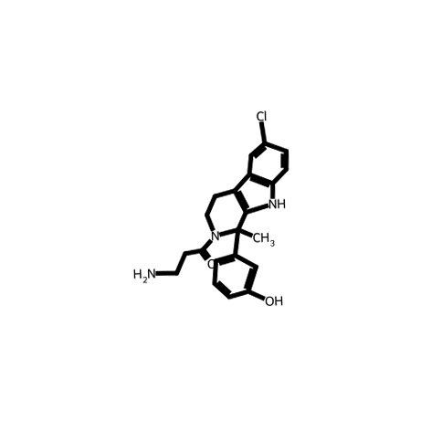 CC1(c2cccc(O)c2)c2[nH]c3ccc(Cl)cc3c2CCN1C(=O)CCN